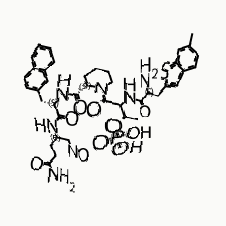 Cc1ccc2cc(C[C@H](N)C(=O)NC(C(=O)N3CCCC[C@H]3C(=O)N[C@@H](Cc3ccc4ccccc4c3)C(=O)N[C@H](CCC(N)=O)CN=O)C(C)OP(=O)(O)O)sc2c1